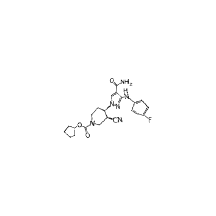 N#C[C@H]1CN(C(=O)OC2CCCC2)CC[C@H]1n1cc(C(N)=O)c(Nc2ccc(F)cc2)n1